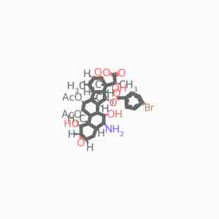 CC(=O)O[C@H]1C2C([C@@H](O)[C@@H](N)[C@H]3C[C@@H]4O[C@@H]4[C@H](O)[C@]23C)[C@@H]2[C@@H](OC(=O)c3ccc(Br)cc3)[C@@H]3[C@H]([C@H](C)[C@H]4O[C@]45OC(=O)[C@@](C)(O)[C@]35C)[C@@]2(C)[C@H]1OC(C)=O